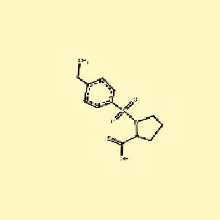 CCc1ccc(S(=O)(=O)N2CCCC2C(O)=S)cc1